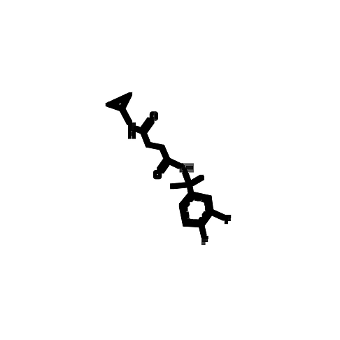 CC(C)(NC(=O)CCC(=O)NC1CC1)c1ccc(F)c(F)c1